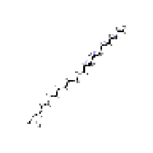 CCCCCCCCCCCCC/C=C/C=C/C=C/C=C/[C]=O